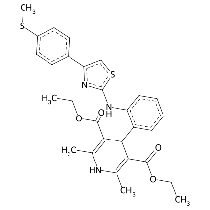 CCOC(=O)C1=C(C)NC(C)=C(C(=O)OCC)C1c1ccccc1Nc1nc(-c2ccc(SC)cc2)cs1